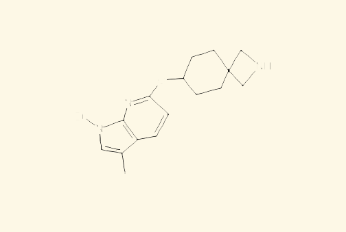 CCn1cc(F)c2ccc(OC3CCC4(CC3)CNC4)nc21